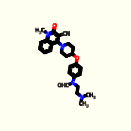 CN(C)CCN(C=O)c1ccc(OC2CCN(c3c(C#N)c(=O)n(C)c4ccccc34)CC2)cc1